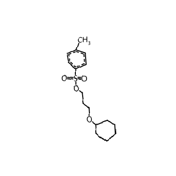 Cc1ccc(S(=O)(=O)OCCCOC2CCCCC2)cc1